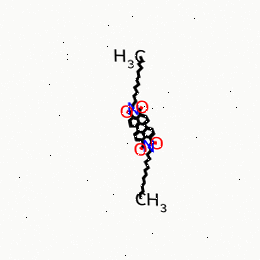 CCCCCCCCCCCCCN1C(=O)c2ccc3c4ccc5c6c(ccc(c7ccc(c2c37)C1=O)c64)C(=O)N(CCCCCCCCCCCCC)C5=O